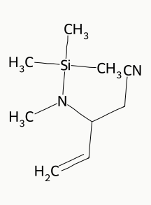 C=CC(CC#N)N(C)[Si](C)(C)C